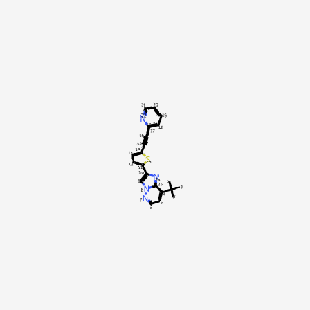 CC(C)(C)c1ccnn2[c]c(-c3ccc(C#Cc4ccccn4)s3)nc12